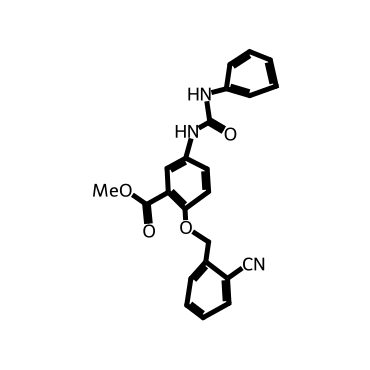 COC(=O)c1cc(NC(=O)Nc2ccccc2)ccc1OCc1ccccc1C#N